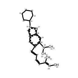 CC(/C=C\C=C\c1cc2cn(C3CCCCC3)nc2cc1N(C)C)=N\O